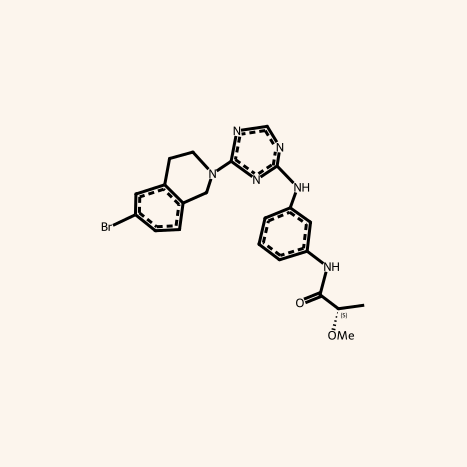 CO[C@@H](C)C(=O)Nc1cccc(Nc2ncnc(N3CCc4cc(Br)ccc4C3)n2)c1